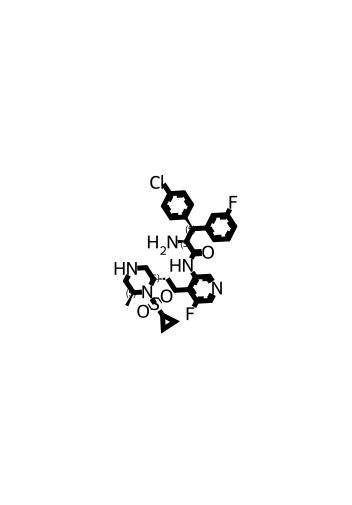 C[C@H]1CNC[C@H](CCc2c(F)cncc2NC(=O)[C@@H](N)[C@@H](c2ccc(Cl)cc2)c2cccc(F)c2)N1S(=O)(=O)C1CC1